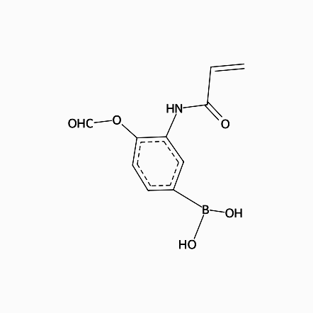 C=CC(=O)Nc1cc(B(O)O)ccc1OC=O